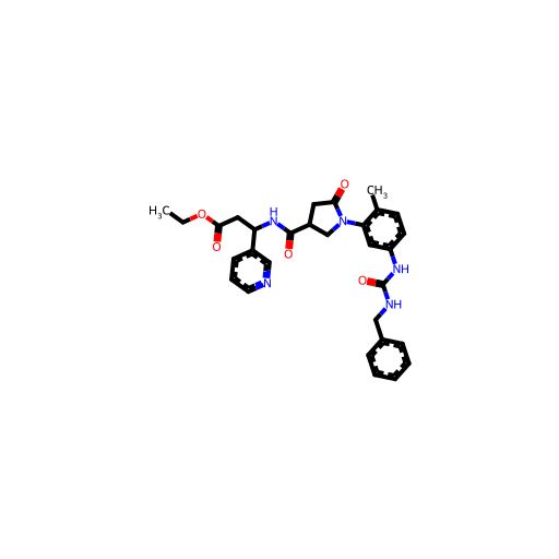 CCOC(=O)CC(NC(=O)C1CC(=O)N(c2cc(NC(=O)NCc3ccccc3)ccc2C)C1)c1cccnc1